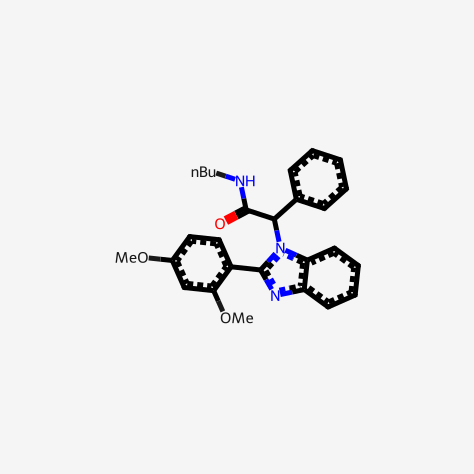 CCCCNC(=O)C(c1ccccc1)n1c(-c2ccc(OC)cc2OC)nc2ccccc21